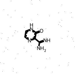 N=C(N)c1ncc[nH]c1=O